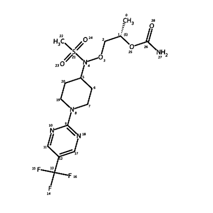 C[C@@H](CON(C1CCN(c2ncc(C(F)(F)F)cn2)CC1)S(C)(=O)=O)OC(N)=O